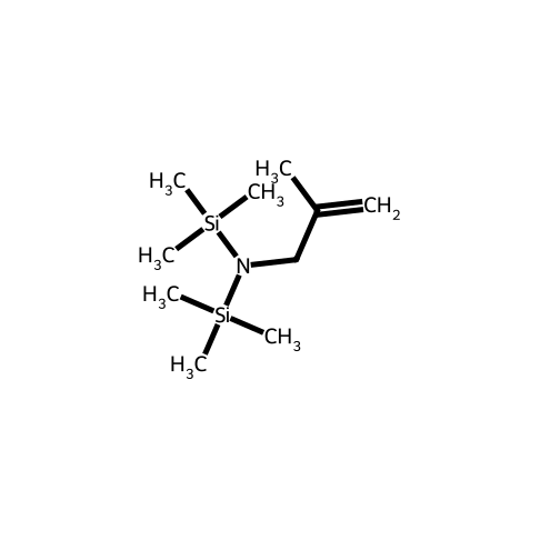 C=C(C)CN([Si](C)(C)C)[Si](C)(C)C